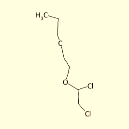 CCCCCCOC(Cl)CCl